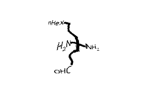 CCCCCCCCCC(N)(N)CCCC=O